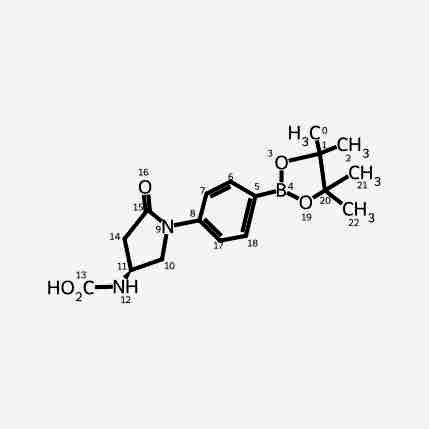 CC1(C)OB(c2ccc(N3C[C@@H](NC(=O)O)CC3=O)cc2)OC1(C)C